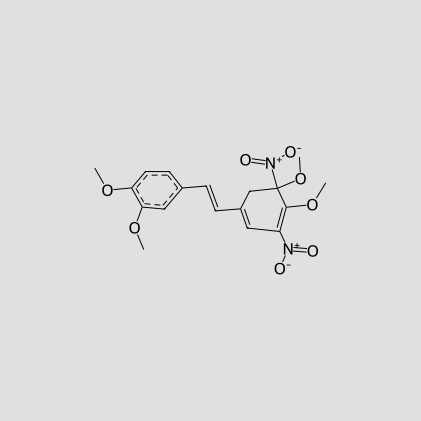 COC1=C([N+](=O)[O-])C=C(C=Cc2ccc(OC)c(OC)c2)CC1(OC)[N+](=O)[O-]